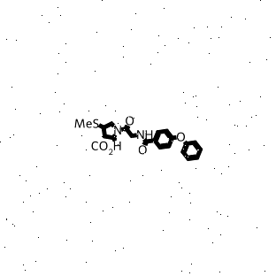 CSC1CC(C(=O)O)N(C(=O)CNC(=O)c2ccc(Oc3ccccc3)cc2)C1